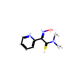 CN(C)C(=S)C(=NO)c1ccccn1